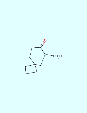 O=C(O)C1CC2(CCC2)CCC1=O